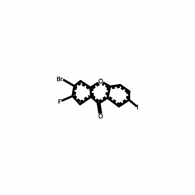 O=c1c2cc(I)ccc2oc2cc(Br)c(F)cc12